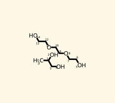 CC(O)CO.OCCOCCOCCO